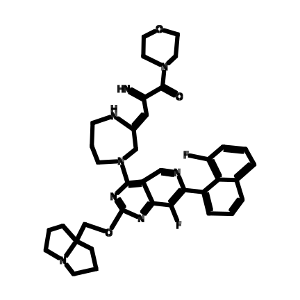 N=C(/C=C1/CN(c2nc(OCC34CCCN3CCC4)nc3c(F)c(-c4cccc5cccc(F)c45)ncc23)CCCN1)C(=O)N1CCOCC1